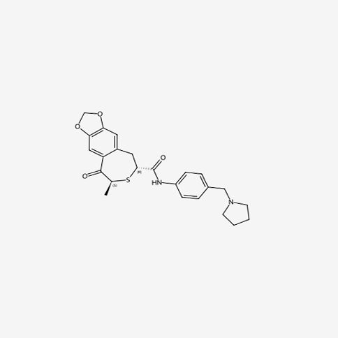 C[C@@H]1S[C@@H](C(=O)Nc2ccc(CN3CCCC3)cc2)Cc2cc3c(cc2C1=O)OCO3